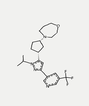 CC(C)n1nc(-c2cncc(C(F)(F)F)c2)cc1[C@@H]1CC[C@H](N2CCCOCC2)C1